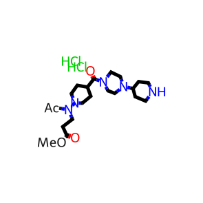 COC(=O)CCN(C(C)=O)N1CCC(C(=O)N2CCN(C3CCNCC3)CC2)CC1.Cl.Cl